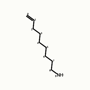 C=CCCCCCCC[NH]